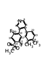 Cc1cc(-c2ccncc2-c2cc(F)c(S(C)(=O)=O)cc2F)ccc1C(F)(F)F